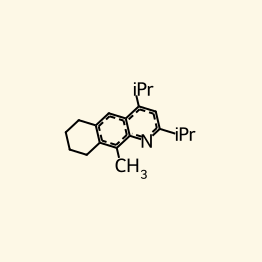 Cc1c2c(cc3c(C(C)C)cc(C(C)C)nc13)CCCC2